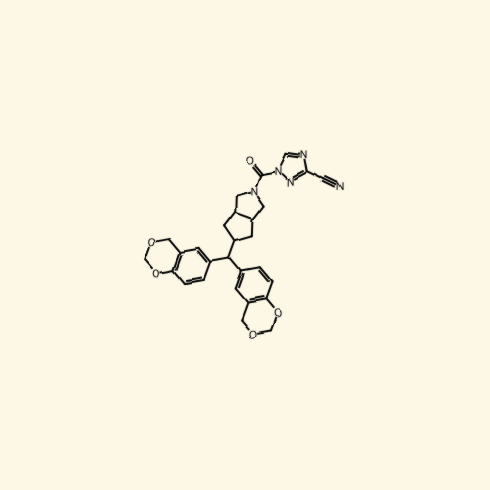 N#Cc1ncn(C(=O)N2CC3CC(C(c4ccc5c(c4)COCO5)c4ccc5c(c4)COCO5)CC3C2)n1